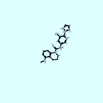 COc1cccc2c1CCCN2C(=O)Nc1cnc(-n2nccn2)c(Cl)c1